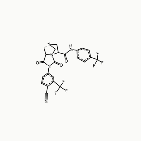 N#Cc1ccc(N2C(=O)C3C[N@]4CC(C(=O)Nc5ccc(C(F)(F)F)cc5)[N+]3(C4)C2=O)cc1C(F)(F)F